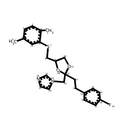 Cc1ccc(C)c(SCC2COC(CCc3ccc(F)cc3)(Cn3ccnc3)O2)c1